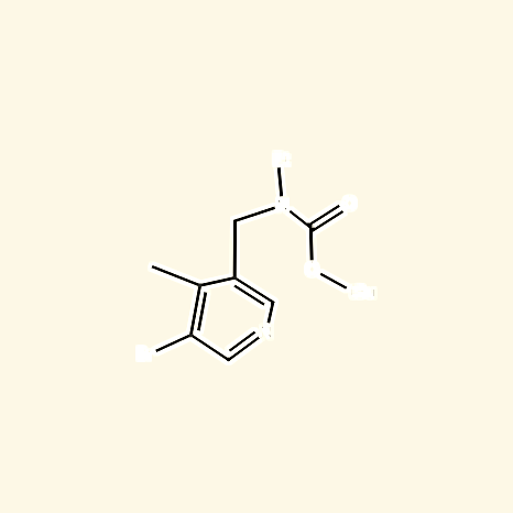 CCN(Cc1cncc(Br)c1C)C(=O)OC(C)(C)C